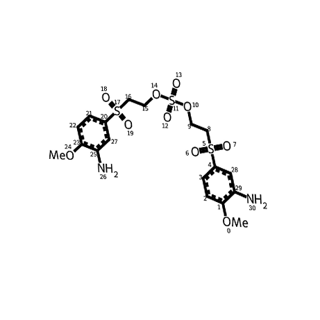 COc1ccc(S(=O)(=O)CCOS(=O)(=O)OCCS(=O)(=O)c2ccc(OC)c(N)c2)cc1N